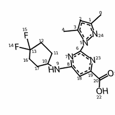 Cc1cc(C)n(-c2nc(NC3CCC(F)(F)CC3)cc(C(=O)O)n2)n1